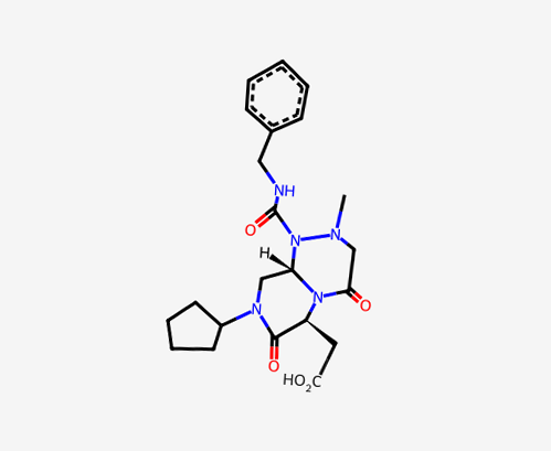 CN1CC(=O)N2[C@@H](CC(=O)O)C(=O)N(C3CCCC3)C[C@@H]2N1C(=O)NCc1ccccc1